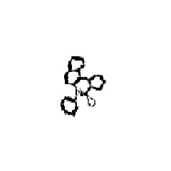 O=C1C2CC=CC=C2c2c(ccc3ccccc23)N1c1ccccc1